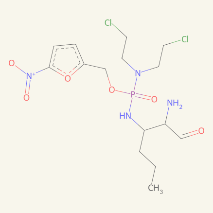 CCCC(NP(=O)(OCc1ccc([N+](=O)[O-])o1)N(CCCl)CCCl)C(N)C=O